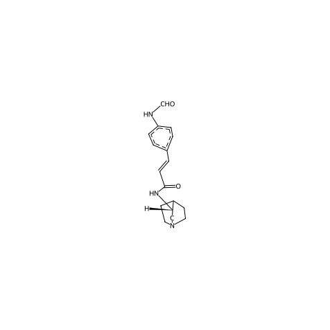 O=CNc1ccc(/C=C/C(=O)N[C@H]2CN3CCC2CC3)cc1